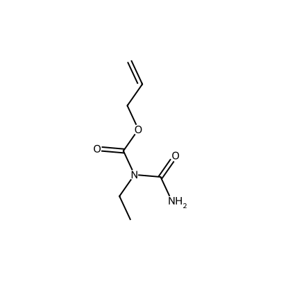 C=CCOC(=O)N(CC)C(N)=O